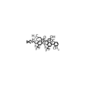 Cc1cccc(C)c1-c1cc([C@H](CC(=O)O)NC(=O)C(CC(C)C)n2cc(CCN3CC4(CC4)C3)c(C(F)(F)F)cc2=O)c(F)c(C(F)(F)F)c1